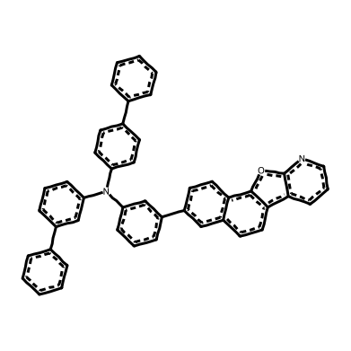 c1ccc(-c2ccc(N(c3cccc(-c4ccccc4)c3)c3cccc(-c4ccc5c(ccc6c7cccnc7oc56)c4)c3)cc2)cc1